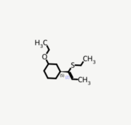 C/C=C(\SCC)[C@H]1CCCC(OCC)C1